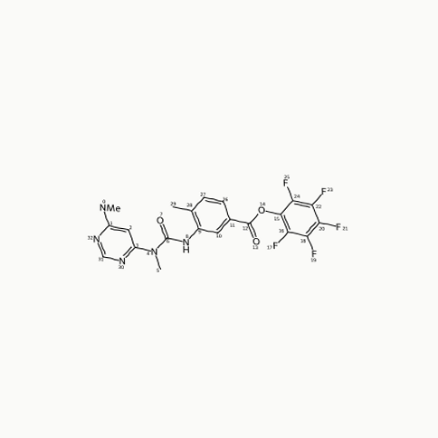 CNc1cc(N(C)C(=O)Nc2cc(C(=O)Oc3c(F)c(F)c(F)c(F)c3F)ccc2C)ncn1